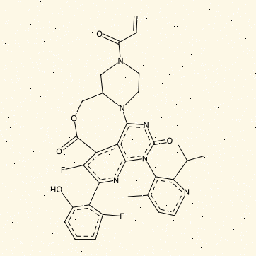 C=CC(=O)N1CCN2c3nc(=O)n(-c4c(C)ccnc4C(C)C)c4nc(-c5c(O)cccc5F)c(F)c(c34)C(=O)OCC2C1